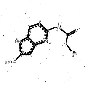 CCOC(=O)c1cc2nc(NC(=O)OC(C)(C)C)ccc2[nH]1